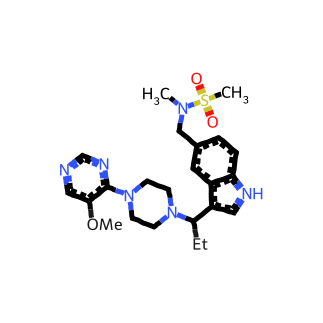 CCC(c1c[nH]c2ccc(CN(C)S(C)(=O)=O)cc12)N1CCN(c2ncncc2OC)CC1